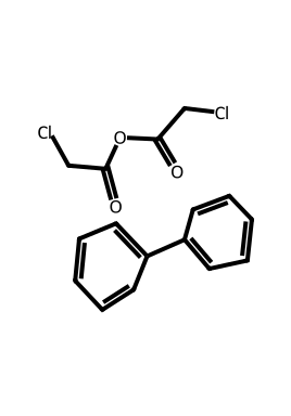 O=C(CCl)OC(=O)CCl.c1ccc(-c2ccccc2)cc1